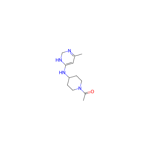 CC(=O)N1CCC(NC2=CC(C)=NCN2)CC1